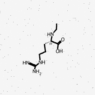 CCN[C@@H](CCCNC(=N)N)C(=O)O